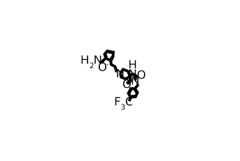 NC(=O)c1ccccc1[CH]CCN1CCC2(CC1)NC(=O)N(Cc1ccc(C(F)(F)F)cc1)C2=O